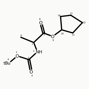 CC(NC(=O)OC(C)(C)C)C(=O)OC1CCCC1